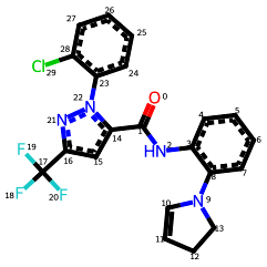 O=C(Nc1ccccc1N1C=CCC1)c1cc(C(F)(F)F)nn1-c1ccccc1Cl